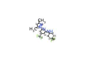 Cc1cc(C)n(-c2cc(C(F)F)cc(NC3CCC(F)(F)CC3)n2)n1